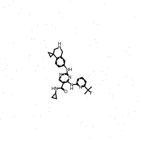 CC(C)(F)c1cccc(Nc2nc(Nc3ccc4c(c3)CNCC43CC3)ncc2C(=O)NC2CC2)n1